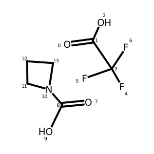 O=C(O)C(F)(F)F.O=C(O)N1CCC1